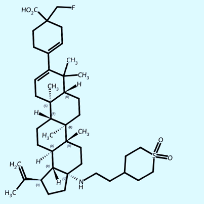 C=C(C)[C@@H]1CC[C@]2(NCCC3CCS(=O)(=O)CC3)CC[C@]3(C)[C@H](CC[C@@H]4[C@@]5(C)CC=C(C6=CCC(CF)(C(=O)O)CC6)C(C)(C)[C@@H]5CC[C@]43C)[C@@H]12